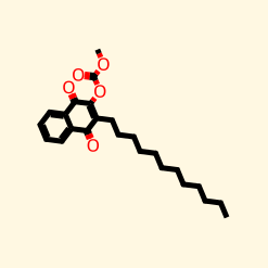 CCCCCCCCCCCCC1=C(OC(=O)OC)C(=O)c2ccccc2C1=O